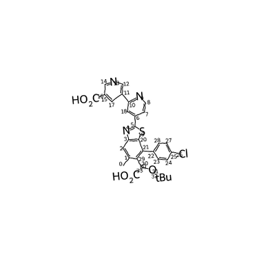 Cc1cc2nc(-c3ccnc(-c4cncc(C(=O)O)c4)c3)sc2c(-c2ccc(Cl)cc2)c1[C@H](OC(C)(C)C)C(=O)O